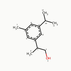 C[C](CO)c1cc(C)cc(C(C)C)c1